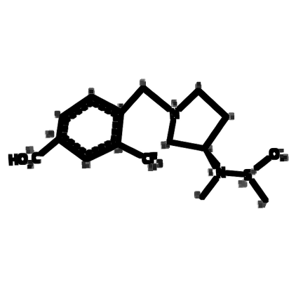 CN([C@@H]1CCN(Cc2ccc(C(=O)O)cc2C(F)(F)F)C1)[S+](C)[O-]